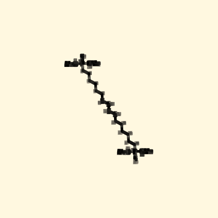 COP(=S)(CCCCCCSSSSCCCCCCP(=S)(OC)OC)OC